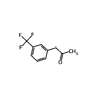 CC(=O)[CH]c1cccc(C(F)(F)F)c1